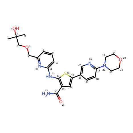 CC(C)(O)COCc1cccc(Nc2sc(-c3ccc(N4CCOCC4)nc3)cc2C(N)=O)n1